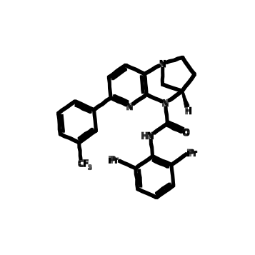 CC(C)c1cccc(C(C)C)c1NC(=O)N1c2nc(-c3cccc(C(F)(F)F)c3)ccc2N2CC[C@H]1C2